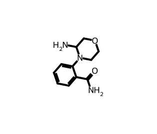 NC(=O)c1ccccc1N1CCOCC1N